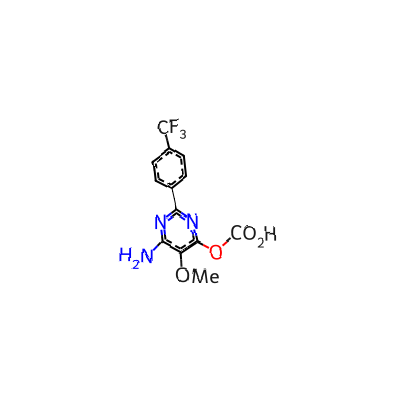 COc1c(N)nc(-c2ccc(C(F)(F)F)cc2)nc1OC(=O)O